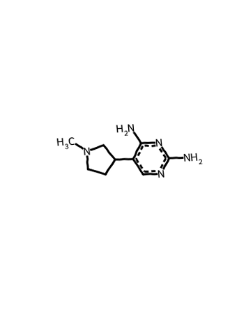 CN1CCC(c2cnc(N)nc2N)C1